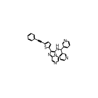 C(#Cc1ccc(-c2nc3cnccn3c2NC(c2cccnc2)c2cccnc2)s1)c1ccccc1